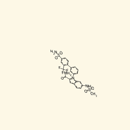 CS(=O)(=O)Nc1ccc2cc(C(N)=O)n(-c3cccc(-c4ccc(S(N)(=O)=O)cc4C(F)(F)F)c3)c2c1